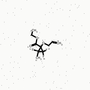 C=CCOC1(C(=O)OCC)C(C)(F)C1(F)F